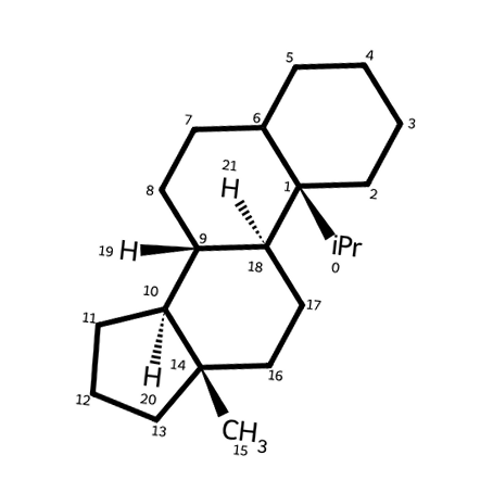 CC(C)[C@]12CCCCC1CC[C@H]1[C@@H]3CCC[C@@]3(C)CC[C@@H]12